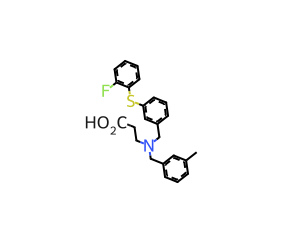 Cc1cccc(CN(CCC(=O)O)Cc2cccc(Sc3ccccc3F)c2)c1